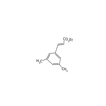 CCOC(=O)/C=C/c1cc(C)cc(C)c1